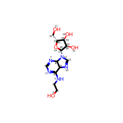 OCCNC1=NC=NC2C1N=CN2[C@@H]1O[C@H](CO)[C@@H](O)[C@H]1O